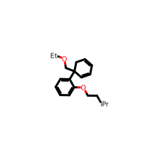 CCOCC1(c2ccccc2OCCC(C)C)C=CC=CC1